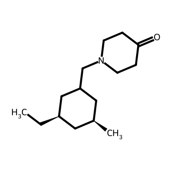 CC[C@H]1CC(CN2CCC(=O)CC2)C[C@@H](C)C1